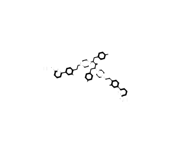 Nc1cccc(-c2ccc(CCN3CCN(C(Cc4ccc(F)cc4)C(=O)C(Cc4ccc(F)cc4)N4CCN(CCc5ccc(-c6cccc(N)n6)cc5F)CC4)CC3)c(F)c2)n1